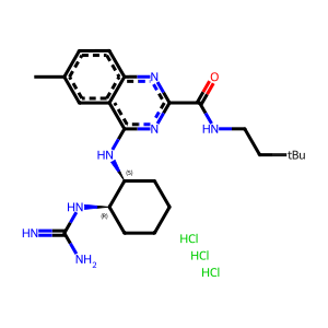 Cc1ccc2nc(C(=O)NCCC(C)(C)C)nc(N[C@H]3CCCC[C@H]3NC(=N)N)c2c1.Cl.Cl.Cl